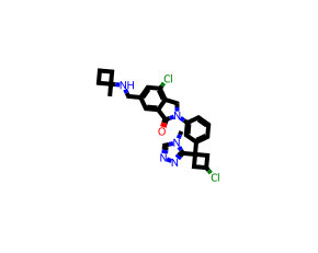 Cn1cnnc1C1(c2cccc(N3Cc4c(Cl)cc(CNC5(C)CCC5)cc4C3=O)c2)CC(Cl)C1